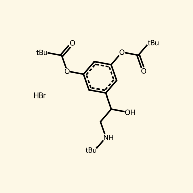 Br.CC(C)(C)NCC(O)c1cc(OC(=O)C(C)(C)C)cc(OC(=O)C(C)(C)C)c1